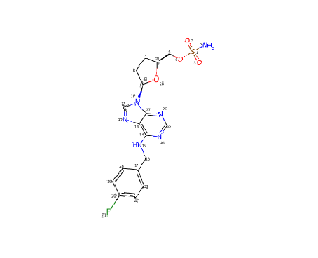 NS(=O)(=O)OC[C@@H]1CC[C@H](n2cnc3c(NCc4ccc(F)cc4)ncnc32)O1